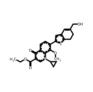 CCOC(=O)c1cn(C2CC2)c2c(OC)c(-c3cc4c(s3)CCC(CO)=C4)ccc2c1=O